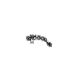 N=C(Nc1ccc(-c2ccc(-c3ccc(OCCCn4ccnc4)cc3)o2)cc1)c1ccccn1